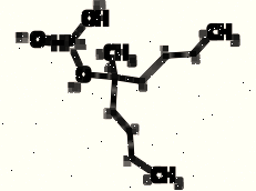 CCCCC(C)(CCCC)O[PH](=O)O